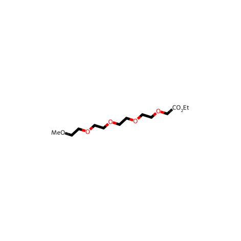 CCOC(=O)COCCOCCOCCOCCOC